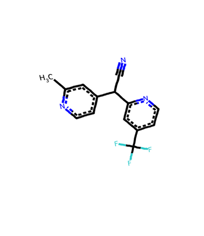 Cc1cc(C(C#N)c2cc(C(F)(F)F)ccn2)ccn1